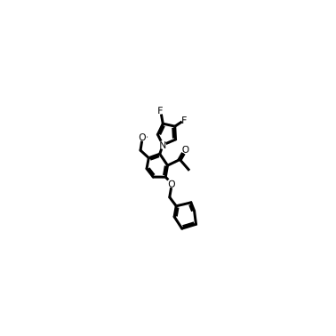 CC(=O)c1c(OCc2ccccc2)ccc(C[O])c1-n1cc(F)c(F)c1